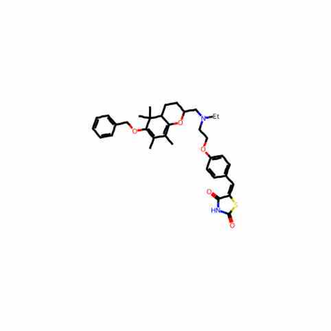 CCN(CCOc1ccc(C=C2SC(=O)NC2=O)cc1)CC1CCC2C(=C(C)C(C)=C(OCc3ccccc3)C2(C)C)O1